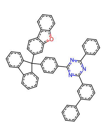 c1ccc(-c2cccc(-c3nc(-c4ccccc4)nc(-c4ccc(C5(c6ccc7c(c6)oc6ccccc67)c6ccccc6-c6ccccc65)cc4)n3)c2)cc1